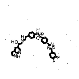 O=S(=O)(Nc1ccc(CCNCC(O)c2cnc3[nH]ccc3c2)cc1)c1ccc(-c2noc(-c3ccc(F)c(F)c3)n2)cc1